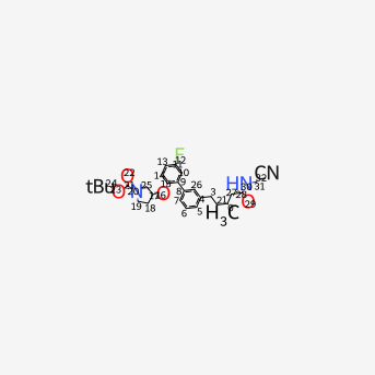 CC(CCc1cccc(-c2cc(F)ccc2OC2CCN(C(=O)OC(C)(C)C)C2)c1)CC(=O)NCC#N